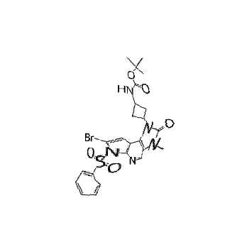 Cn1c(=O)n(C2CC(NC(=O)OC(C)(C)C)C2)c2c3cc(Br)n(S(=O)(=O)c4ccccc4)c3ncc21